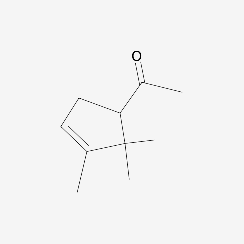 CC(=O)C1CC=C(C)C1(C)C